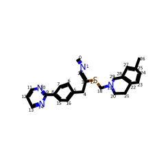 C=N/C=C(/Cc1ccc(-c2ncccn2)cc1)SCN1CCc2ccc(C)cc2C1